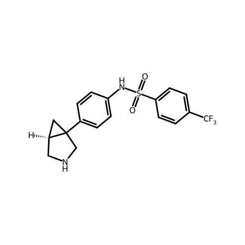 O=S(=O)(Nc1ccc(C23CNC[C@H]2C3)cc1)c1ccc(C(F)(F)F)cc1